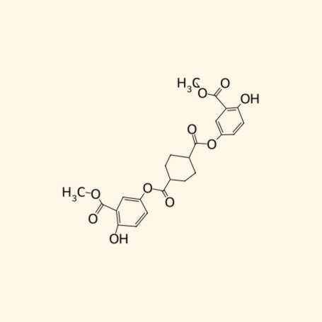 COC(=O)c1cc(OC(=O)C2CCC(C(=O)Oc3ccc(O)c(C(=O)OC)c3)CC2)ccc1O